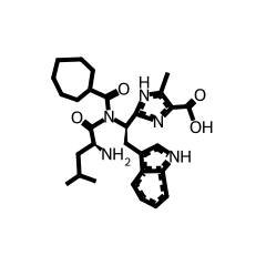 Cc1[nH]c([C@@H](Cc2c[nH]c3ccccc23)N(C(=O)C2CCCCCC2)C(=O)[C@@H](N)CC(C)C)nc1C(=O)O